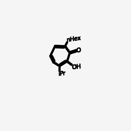 CCCCCCc1cccc(C(C)C)c(O)c1=O